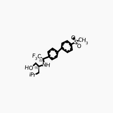 CC(C)C[C@@H](CO)N[C@@H](c1ccc(-c2ccc(S(C)(=O)=O)cc2)cc1)C(F)(F)F